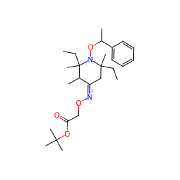 CCC1(C)C/C(=N/OCC(=O)OC(C)(C)C)C(C)C(C)(CC)N1OC(C)c1ccccc1